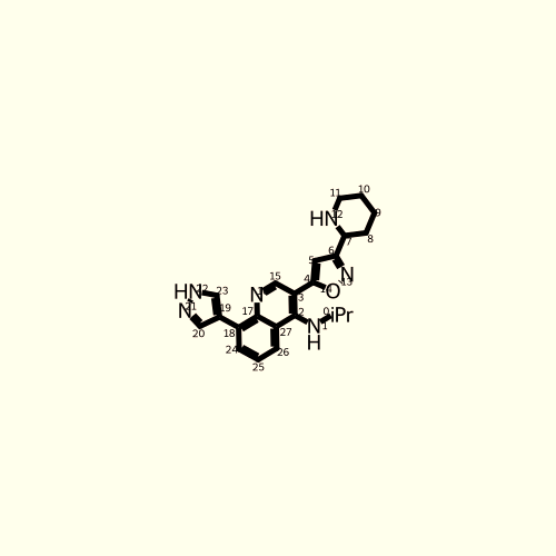 CC(C)Nc1c(-c2cc(C3CCCCN3)no2)cnc2c(-c3cn[nH]c3)cccc12